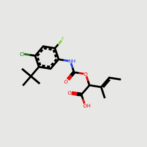 CC=C(C)C(OC(=O)Nc1cc(C(C)(C)C)c(Cl)cc1F)C(=O)O